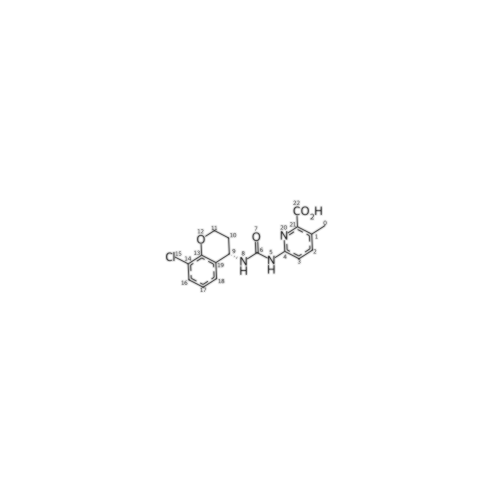 Cc1ccc(NC(=O)N[C@H]2CCOc3c(Cl)cccc32)nc1C(=O)O